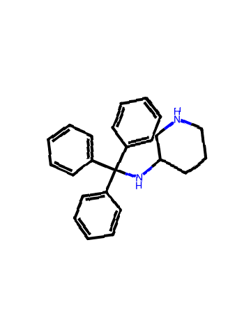 c1ccc(C(NC2CCCNC2)(c2ccccc2)c2ccccc2)cc1